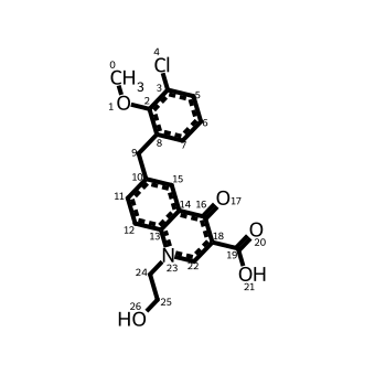 COc1c(Cl)cccc1Cc1ccc2c(c1)c(=O)c(C(=O)O)cn2CCO